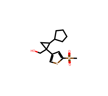 CS(=O)(=O)c1cc(C2(CO)CC2C2CCCC2)cs1